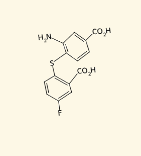 Nc1cc(C(=O)O)ccc1Sc1ccc(F)cc1C(=O)O